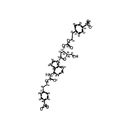 O=C(Nc1ncnc2c1ncn2[C@H]1C[C@H](OC(=O)OCCc2ccc([N+](=O)[O-])cc2)[C@@H](CO)O1)OCCc1ccc([N+](=O)[O-])cc1